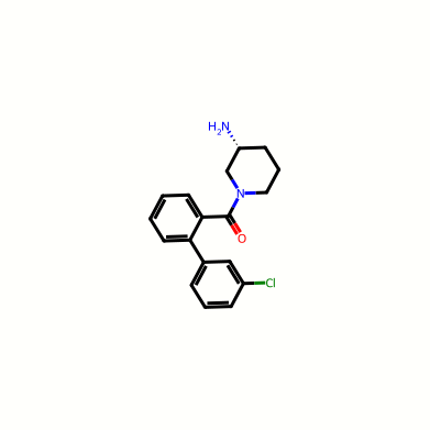 N[C@@H]1CCCN(C(=O)c2ccccc2-c2cccc(Cl)c2)C1